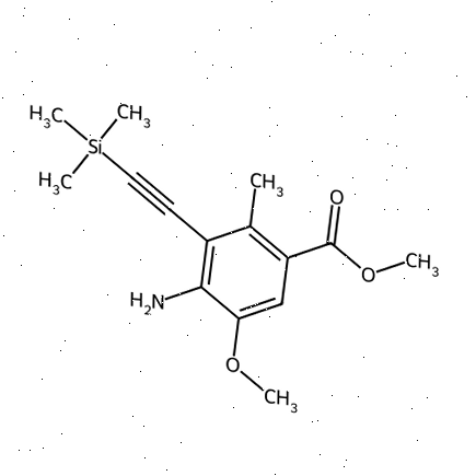 COC(=O)c1cc(OC)c(N)c(C#C[Si](C)(C)C)c1C